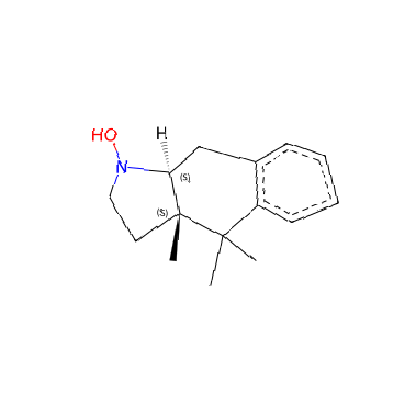 CC1(C)c2ccccc2C[C@@H]2N(O)CC[C@]21C